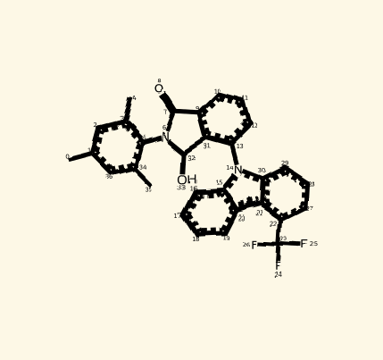 Cc1cc(C)c(N2C(=O)c3cccc(-n4c5ccccc5c5c(C(F)(F)F)cccc54)c3C2O)c(C)c1